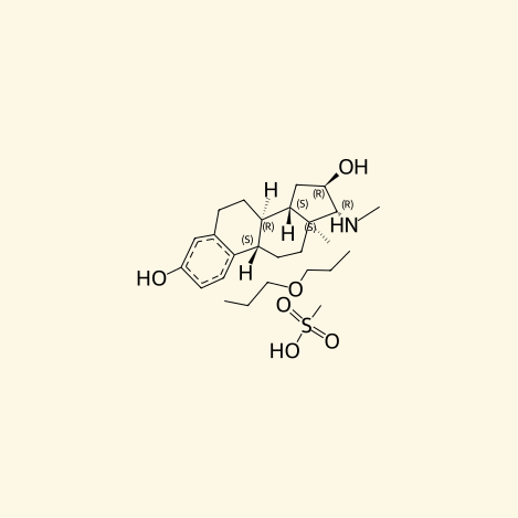 CCCOCCC.CN[C@H]1[C@H](O)C[C@H]2[C@@H]3CCc4cc(O)ccc4[C@H]3CC[C@@]21C.CS(=O)(=O)O